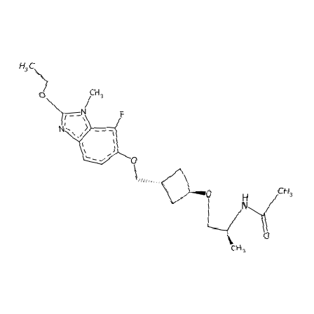 CCOc1nc2ccc(OC[C@H]3C[C@H](OC[C@H](C)NC(C)=O)C3)c(F)c2n1C